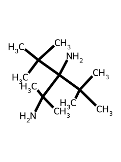 CC(C)(C)C(N)(C(C)(C)C)C(C)(C)N